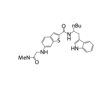 CCCCC(Cc1c[nH]c2ccccc12)NC(=O)c1cc2ccc(NCC(=O)NC)cc2s1